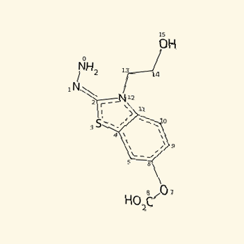 NN=c1sc2cc(OC(=O)O)ccc2n1CCO